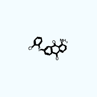 Nc1cccc2c1C(=O)c1cc(Sc3ccccc3Cl)ccc1C2=O